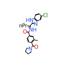 CCC[C@H](NC(=O)c1ccc(C(=O)N2CCCC2)c(C)c1)c1nc2cc(Cl)ccc2[nH]1